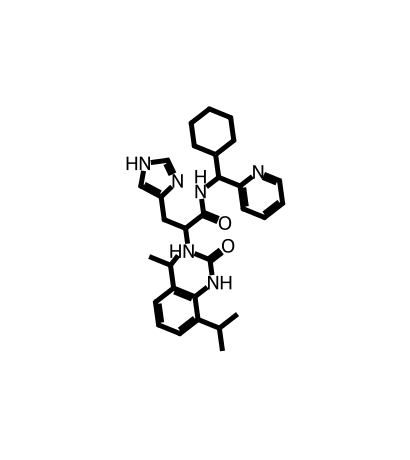 CC(C)c1cccc(C(C)C)c1NC(=O)NC(Cc1c[nH]cn1)C(=O)NC(c1ccccn1)C1CCCCC1